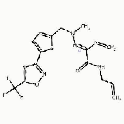 C=CCNC(=O)/C(N=C)=N/N(C)Cc1ccc(-c2noc(C(F)(F)F)n2)s1